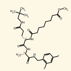 COC(=O)CCCCCCC(=O)N[C@@H](CCC(=O)NCC(C)(C)C)C(=O)N[C@@H](C)C(=O)NCc1ccc(F)cc1F